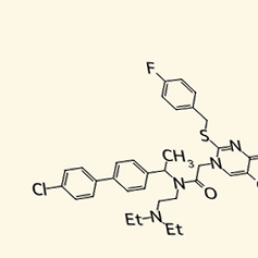 CCN(CC)CCN(C(=O)Cn1cc(C)c(=O)nc1SCc1ccc(F)cc1)C(C)c1ccc(-c2ccc(Cl)cc2)cc1